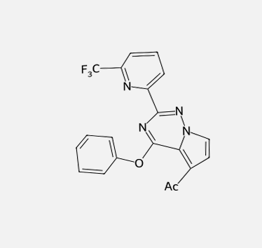 CC(=O)c1ccn2nc(-c3cccc(C(F)(F)F)n3)nc(Oc3ccccc3)c12